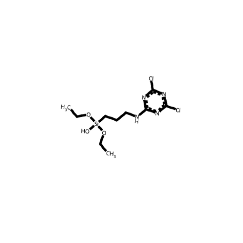 CCO[Si](O)(CCCNc1nc(Cl)nc(Cl)n1)OCC